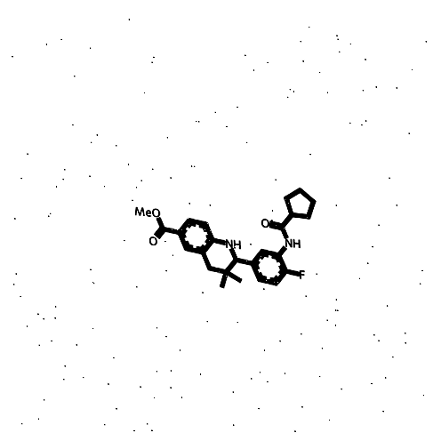 COC(=O)c1ccc2c(c1)CC(C)(C)C(c1ccc(F)c(NC(=O)C3CCCC3)c1)N2